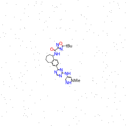 CN/C=C(\C=N)Nc1ncnc(-c2ccc3c(c2)CCCC[C@H]3NC(=O)c2noc(C(C)(C)C)n2)n1